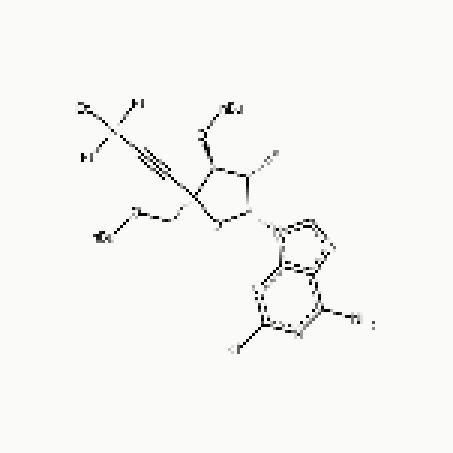 CCCCOC[C@@]1(C#C[Si](CC)(CC)CC)O[C@@H](n2cnc3c(N)nc(Cl)nc32)[C@@H](F)[C@@H]1OCCCC